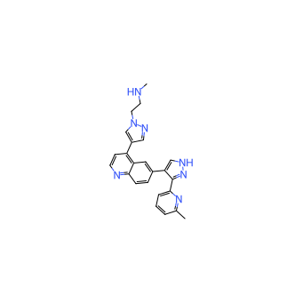 CNCCn1cc(-c2ccnc3ccc(-c4c[nH]nc4-c4cccc(C)n4)cc23)cn1